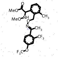 CONC(C(=O)OC)c1cccc(C)c1CO/N=C(\C)c1ccc(OC(F)(F)F)cc1C(F)(F)F